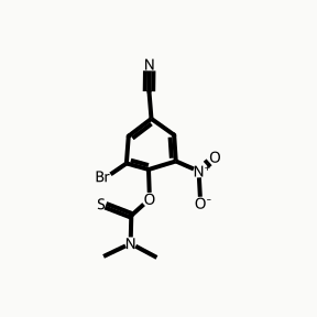 CN(C)C(=S)Oc1c(Br)cc(C#N)cc1[N+](=O)[O-]